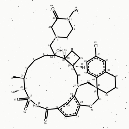 CC(C)N1CCN(C[C@]2(O)CCC[C@H](C)[C@@H](C)S(=O)(=O)NC(=O)c3ccc4c(c3)N(C[C@@H]3CC[C@H]32)C[C@@]2(CCCc3cc(Cl)ccc32)CO4)CC1=O